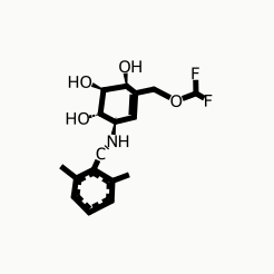 Cc1cccc(C)c1CN[C@@H]1C=C(COC(F)F)[C@H](O)[C@H](O)[C@H]1O